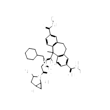 C=C(NCC)c1ccc2c(c1)CCc1cc(C(=O)NCC)ccc1C2(C[C@H](NCC(=O)N1C(C#N)C[C@@H]2C[C@@H]21)C1CCCCC1)c1nnn[nH]1